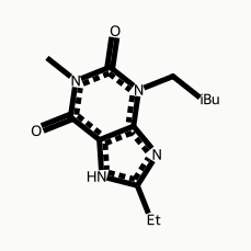 CCc1nc2c([nH]1)c(=O)n(C)c(=O)n2CC(C)CC